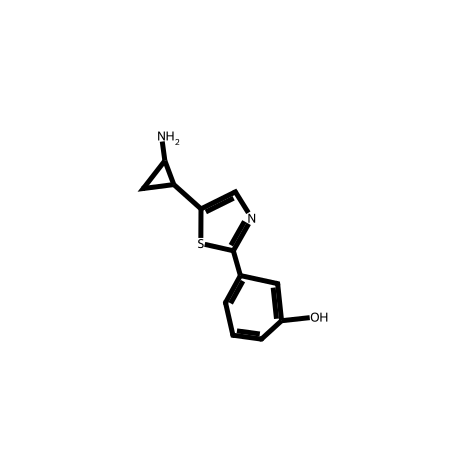 NC1CC1c1cnc(-c2cccc(O)c2)s1